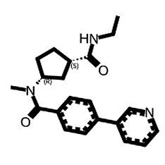 CCNC(=O)[C@H]1CC[C@@H](N(C)C(=O)c2ccc(-c3cccnc3)cc2)C1